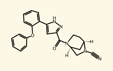 N#CN1C[C@@H]2C[C@H]1CCN2C(=O)c1cc(-c2ccccc2Oc2ccccc2)[nH]n1